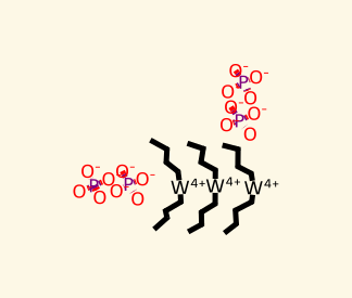 CCC[CH2][W+4][CH2]CCC.CCC[CH2][W+4][CH2]CCC.CCC[CH2][W+4][CH2]CCC.O=P([O-])([O-])[O-].O=P([O-])([O-])[O-].O=P([O-])([O-])[O-].O=P([O-])([O-])[O-]